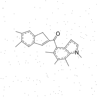 Cc1cc2c(cc1C)CC(C(=O)c1c(C)c(C)c(C)c3c1ccn3C)=C2